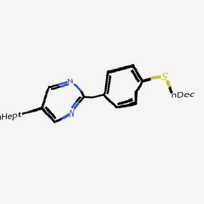 CCCCCCCCCCSc1ccc(-c2ncc(CCCCCCC)cn2)cc1